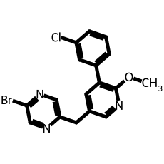 COc1ncc(Cc2cnc(Br)cn2)cc1-c1cccc(Cl)c1